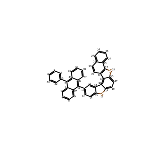 c1ccc(-c2c3ccccc3c(-c3ccc4sc5ccc6sc7c8ccccc8ccc7c6c5c4c3)c3ccccc23)cc1